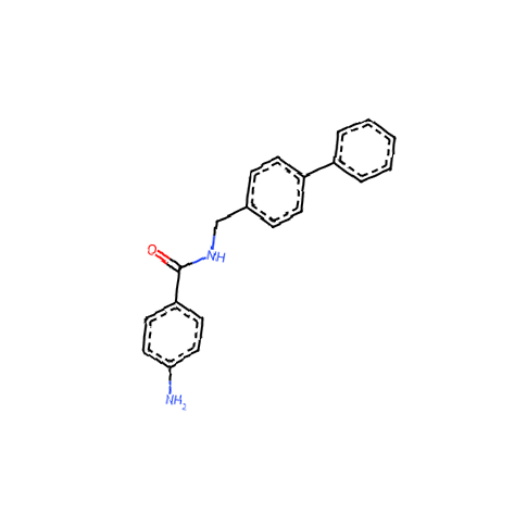 Nc1ccc(C(=O)NCc2ccc(-c3ccccc3)cc2)cc1